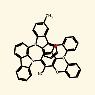 Cc1ccc2c(c1)c1ccccc1n2-c1cccc2c3ccccc3n(-c3cc4c5c(c3C#N)Oc3ccccc3B5c3ccccc3O4)c12